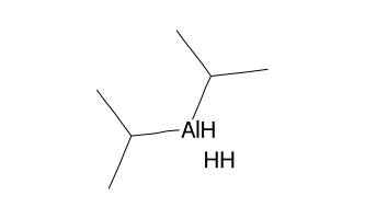 C[CH](C)[AlH][CH](C)C.[HH]